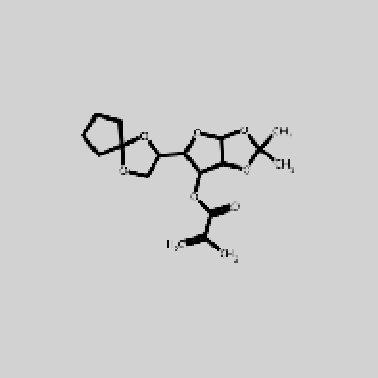 C=C(C)C(=O)OC1C(C2COC3(CCCC3)O2)OC2OC(C)(C)OC21